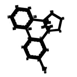 Brc1ccc2c(c1)C13CCCC1(CCC3)c1ccccc1-2